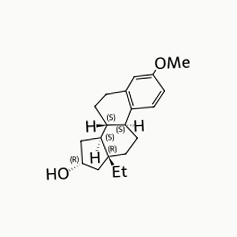 CC[C@]12CC[C@@H]3c4ccc(OC)cc4CC[C@H]3[C@@H]1C[C@@H](O)C2